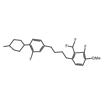 COc1ccc(CCCCc2ccc(C3CCC(C)CC3)c(F)c2)c(C(F)F)c1F